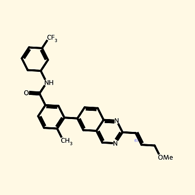 COC/C=C/c1ncc2cc(-c3cc(C(=O)NC4C=C(C(F)(F)F)C=CC4)ccc3C)ccc2n1